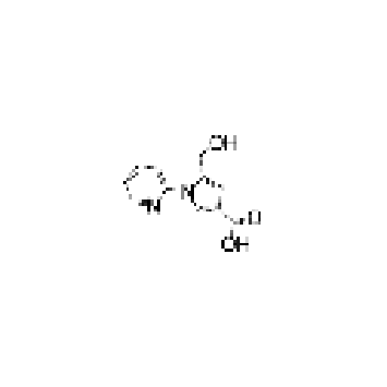 O=C(O)c1cc(CO)n(-c2ccccn2)c1